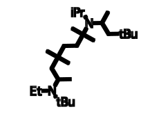 CCN(C(C)CC(C)(C)CCC(C)(C)N(C(C)C)C(C)CC(C)(C)C)C(C)(C)C